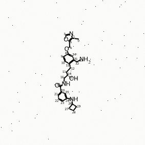 Cc1ncoc1COc1ccc(CC[C@H](O)CNC(=O)c2cccc(NC3CCC3)c2)c(CN)c1